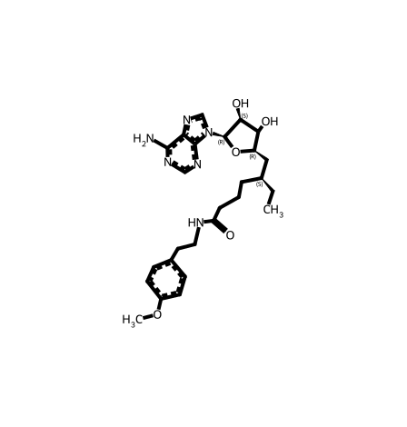 CC[C@@H](CCCC(=O)NCCc1ccc(OC)cc1)C[C@H]1O[C@@H](n2cnc3c(N)ncnc32)[C@@H](O)C1O